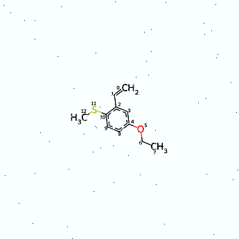 C=Cc1cc(OCC)ccc1SC